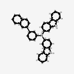 c1cc(-c2ccc3ccccc3c2)cc(N(c2ccc3c(c2)oc2ccccc23)c2ccc3sc4ccccc4c3c2)c1